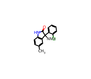 CNC1(c2ccccc2Cl)C(=O)Nc2ccc(C)cc21